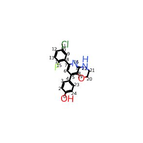 Oc1ccc(-c2cc(-c3cc(Cl)ccc3F)nc3c2OCCN3)cc1